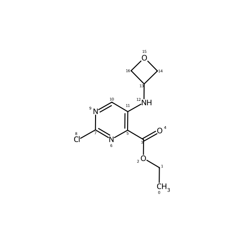 CCOC(=O)c1nc(Cl)ncc1NC1COC1